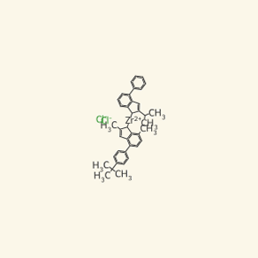 CC1=Cc2c(-c3ccc(C(C)(C)C)cc3)ccc(C)c2[CH]1[Zr+2][CH]1C(C(C)C)=Cc2c(-c3ccccc3)cccc21.[Cl-].[Cl-]